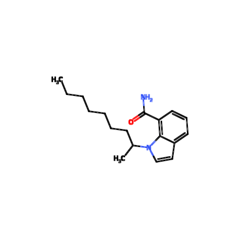 CCCCCCCC(C)n1ccc2cccc(C(N)=O)c21